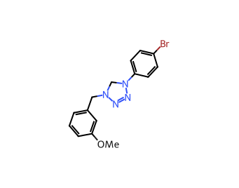 COc1cccc(CN2CN(c3ccc(Br)cc3)N=N2)c1